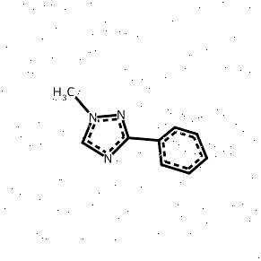 Cn1cnc(-c2ccccc2)n1